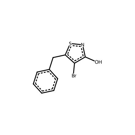 Oc1nsc(Cc2ccccc2)c1Br